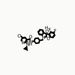 O=C(NC1CCC(CN2C(=O)C(O)(c3cccc(F)c3F)c3ccccc32)CC1)c1cc(Cl)cnc1NC1CC1